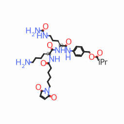 CC(C)C(=O)OCc1ccc(NC(=O)[C@H](CCCNC(N)=O)NC(=O)[C@H](CCCCN)NC(=O)CCCCCN2C(=O)C=CC2=O)cc1